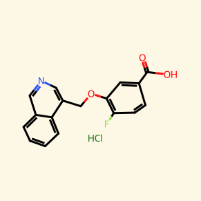 Cl.O=C(O)c1ccc(F)c(OCc2cncc3ccccc23)c1